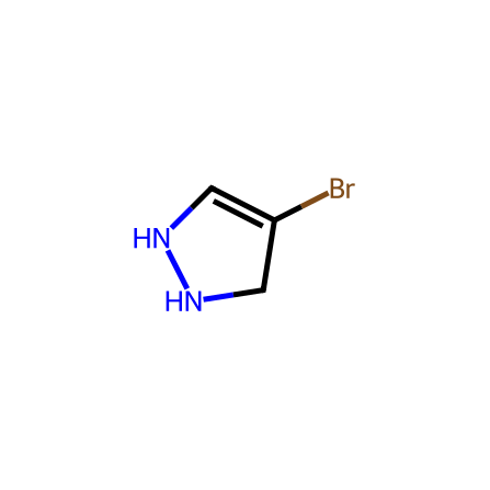 BrC1=CNNC1